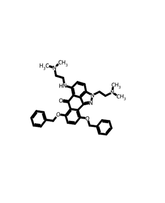 CN(C)CCNc1ccc2c3c(nn2CCN(C)C)-c2c(OCc4ccccc4)ccc(OCc4ccccc4)c2C(=O)c13